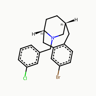 Clc1cccc(CN2C[C@@H]3CC[C@H]2Cc2cc(Br)ccc2C3)c1